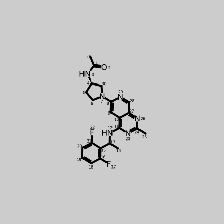 CC(=O)N[C@@H]1CCN(c2cc3c(NC(C)c4c(F)cccc4F)nc(C)nc3cn2)C1